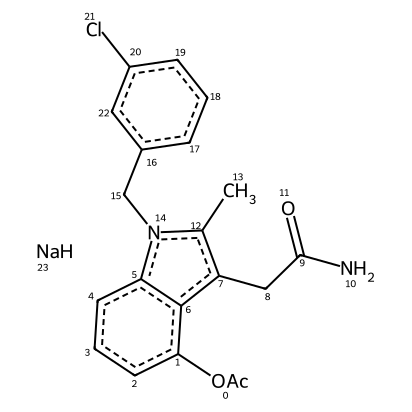 CC(=O)Oc1cccc2c1c(CC(N)=O)c(C)n2Cc1cccc(Cl)c1.[NaH]